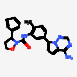 Cc1ccc(-c2ccc3c(N)ncnn23)cc1NC(=O)N1OCC[C@H]1c1ccccc1